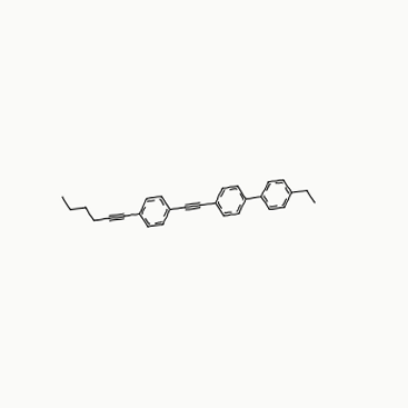 CCCCC#Cc1ccc(C#Cc2ccc(-c3ccc(CC)cc3)cc2)cc1